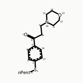 CCCCCSc1ccc(C(=O)CCN2CCOCC2)cc1